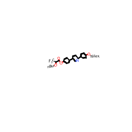 CCCCCCOc1ccc(-c2ccc(-c3ccc(OC(=O)C(OCCCC)C(F)(F)F)cc3)cn2)cc1